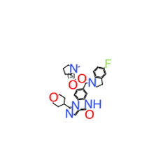 CN1CCC[C@H]1COc1cc2c(cc1C(=O)N1CCc3cc(F)ccc31)[nH]c(=O)c1cnc(C3CCOCC3)n12